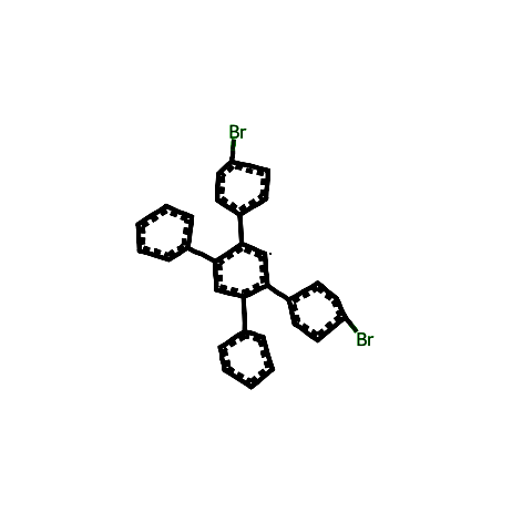 Brc1ccc(-c2[c]c(-c3ccc(Br)cc3)c(-c3ccccc3)cc2-c2ccccc2)cc1